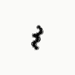 c1ccc(-c2ccc3c(c2)-c2cc(-c4ccc5c(c4)c4cc6oc7ccc(-c8ccc9oc%10ccc(-c%11ccccc%11)cc%10c9c8)cc7c6cc4n5-c4ccccc4)ccc2C3)cc1